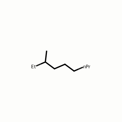 [CH2]CCCCCC(C)C[CH2]